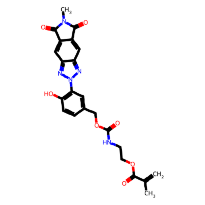 C=C(C)C(=O)OCCNC(=O)OCc1ccc(O)c(-n2nc3cc4c(cc3n2)C(=O)N(C)C4=O)c1